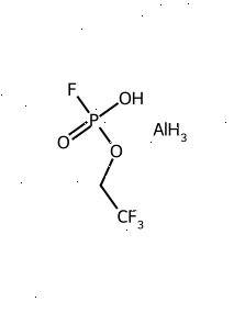 O=P(O)(F)OCC(F)(F)F.[AlH3]